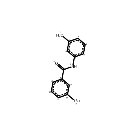 Cc1cccc(NC(=O)c2cccc(C(C)(C)C)c2)c1